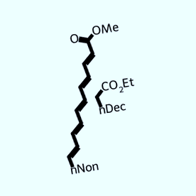 CCCCCCCCCC=CC=CC=CC=CC=CC(=O)OC.CCCCCCCCCCCC(=O)OCC